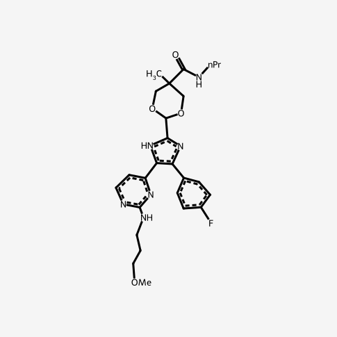 CCCNC(=O)C1(C)COC(c2nc(-c3ccc(F)cc3)c(-c3ccnc(NCCCOC)n3)[nH]2)OC1